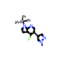 CC(C)[Si](C(C)C)(C(C)C)n1ccc2c(F)c(-c3cnn(C)c3)cnc21